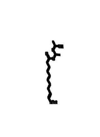 CCCCCCCCC=CCCCCCCCC(=O)OC(C)OC(C)O